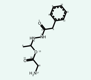 CC(NNC(=O)Cc1ccccc1)OC(=O)CN